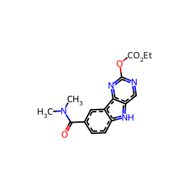 CCOC(=O)Oc1ncc2[nH]c3ccc(C(=O)N(C)C)cc3c2n1